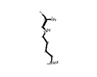 CCCCCCCCCCN/C=C(/I)CCC